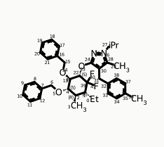 CC[C@@H]1[C@@H](C)[C@H](OCc2ccccc2)[C@@H](OCc2ccccc2)[C@H](Oc2nn(C(C)C)c(C)c2Cc2ccc(C)cc2)C1(F)F